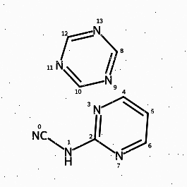 N#CNc1ncccn1.c1ncncn1